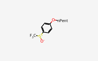 CCCCCOc1ccc([S+]([O-])C(F)(F)F)cc1